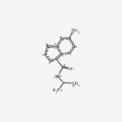 Cc1ccc2c(C(=O)NC(C)C)cccc2c1